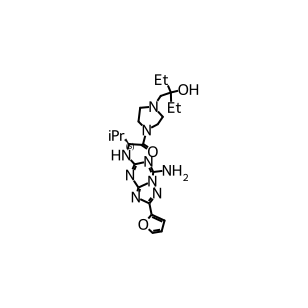 CCC(O)(CC)CN1CCN(C(=O)[C@@H](Nc2nc(N)n3nc(-c4ccco4)nc3n2)C(C)C)CC1